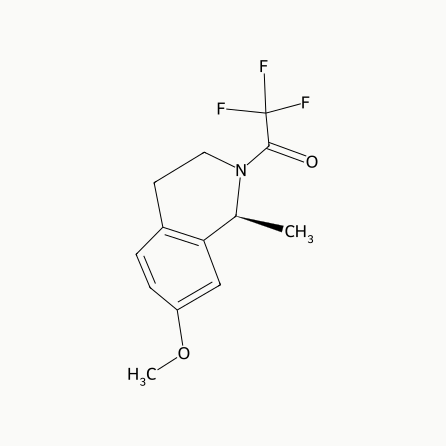 COc1ccc2c(c1)[C@H](C)N(C(=O)C(F)(F)F)CC2